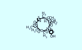 CCC[C@H]1NC(=O)c2csc(n2)[C@H](C)NC(=O)[C@H](C(C)C)N(C)C(=O)[C@H](Cc2ccc(O)cc2)N(C)C(=O)[C@H](C)OC(=O)[C@@H]1C